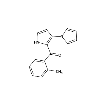 Cc1ccccc1C(=O)c1[nH]ccc1-n1cccc1